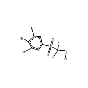 O=S(=O)(c1cc(Br)c(Br)c(Br)c1)C(Cl)(Cl)SCl